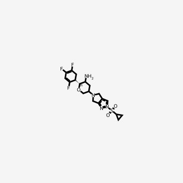 NC1CC(N2Cc3cn(S(=O)(=O)C4CC4)nc3C2)CO[C@@H]1C1CC(F)=C(F)C=C1F